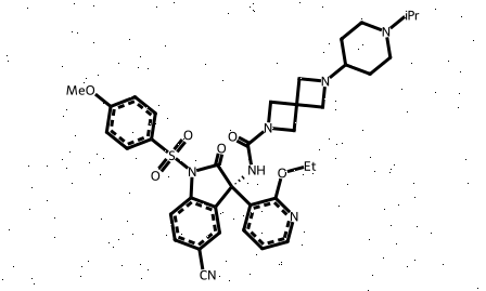 CCOc1ncccc1[C@]1(NC(=O)N2CC3(C2)CN(C2CCN(C(C)C)CC2)C3)C(=O)N(S(=O)(=O)c2ccc(OC)cc2)c2ccc(C#N)cc21